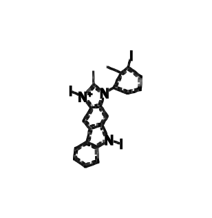 Cc1c(I)cccc1-n1c(C)[n+](I)c2cc3c4ccccc4n(I)c3cc21